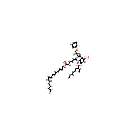 C=CC(CCCCCC)C(=O)O[C@H]1C[C@@H](O)[C@H](/C=C/C(F)(F)COc2ccccc2)[C@H]1C/C=C\CCCC(=O)OCCCCCCCC/C=C\CCCCCC